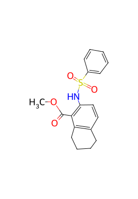 COC(=O)c1c(NS(=O)(=O)c2ccccc2)ccc2c1CCCC2